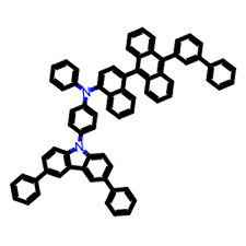 c1ccc(-c2cccc(-c3c4ccccc4c(-c4ccc(N(c5ccccc5)c5ccc(-n6c7ccc(-c8ccccc8)cc7c7cc(-c8ccccc8)ccc76)cc5)c5ccccc45)c4ccccc34)c2)cc1